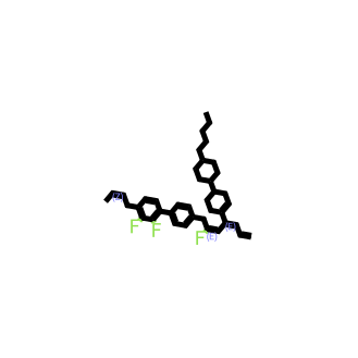 C=C/C=C(\C=C(\F)Cc1ccc(-c2ccc(C/C=C\C)c(F)c2F)cc1)C1=CCC(C2CCC(CCCCC)CC2)CC1